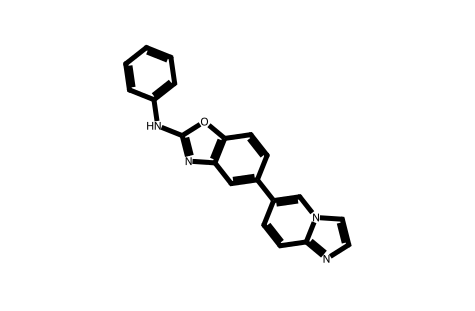 c1ccc(Nc2nc3cc(-c4ccc5nccn5c4)ccc3o2)cc1